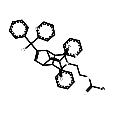 CCCC(=O)OCCN1C(=O)C2C3C=C(C(O)(c4ccccc4)c4ccccn4)C(C3=C(c3ccccc3)c3ccccn3)C2C1=O